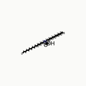 CCCCCCCCCCCCCCC/C=C(/CCCCCCCCCCCC)C(=O)O